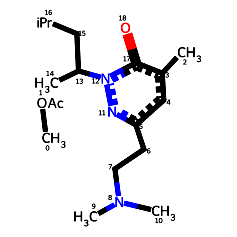 COC(C)=O.Cc1cc(CCN(C)C)nn(C(C)CC(C)C)c1=O